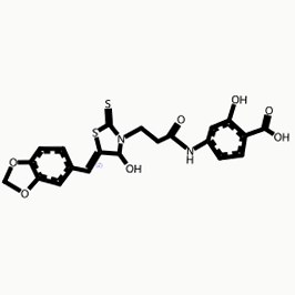 O=C(CCN1C(=S)S/C(=C\c2ccc3c(c2)OCO3)C1O)Nc1ccc(C(=O)O)c(O)c1